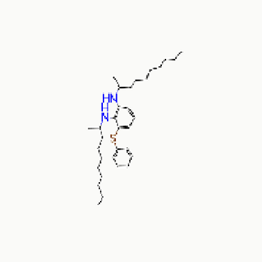 CCCCCCCCC(C)Nc1cccc(Sc2ccccc2)c1NC(C)CCCCCCCC